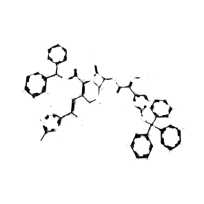 CON=C(C(=O)NC1C(=O)N2C(C(=O)OC(c3ccccc3)c3ccccc3)=C(C=C(S)c3nc(C)ns3)CSC12)c1csc(NC(c2ccccc2)(c2ccccc2)c2ccccc2)n1